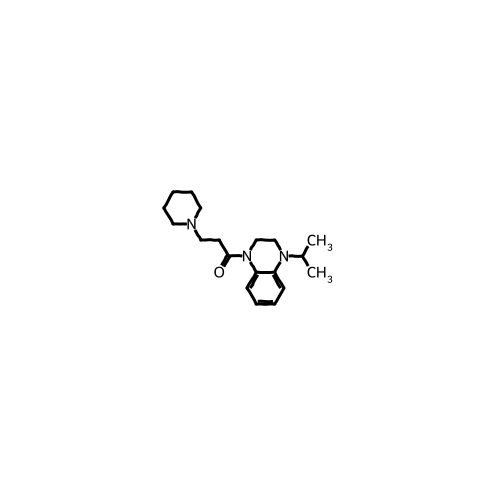 CC(C)N1CCN(C(=O)CCN2CCCCC2)c2ccccc21